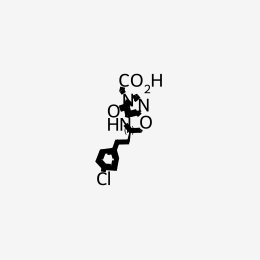 O=C(O)Cn1cnc2c(c1=O)N[C@H](CCc1ccc(Cl)cc1)CO2